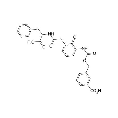 O=C(Cn1cccc(NC(=O)OCc2cccc(C(=O)O)c2)c1=O)NC(Cc1ccccc1)C(=O)C(F)(F)F